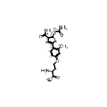 Cc1cc(OCC[C@H](N)C(=O)O)ccc1-c1cc(C(N)=O)c(NC(N)=O)s1